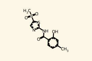 Cc1ccc(C(=O)Nc2ncc(S(C)(=O)=O)s2)c(O)c1